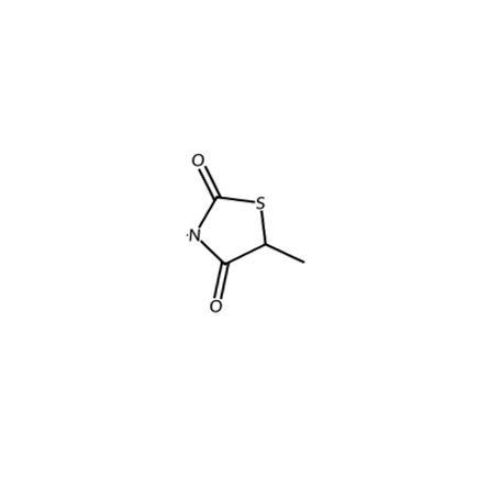 CC1SC(=O)[N]C1=O